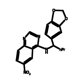 CCCC(Nc1ncnc2ccc([N+](=O)[O-])cc12)c1ccc2c(c1)OCO2